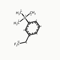 C[Si](C)(C)c1cccc(CC(F)(F)F)c1